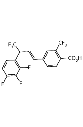 O=C(O)c1ccc(C=CC(c2ccc(F)c(F)c2F)C(F)(F)F)cc1C(F)(F)F